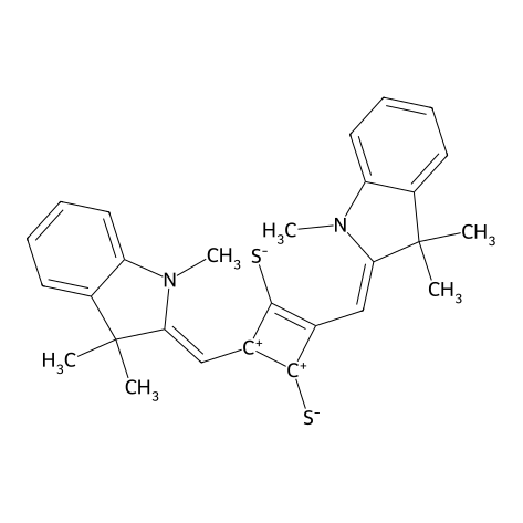 CN1C(=Cc2c([S-])[c+](C=C3N(C)c4ccccc4C3(C)C)[c+]2[S-])C(C)(C)c2ccccc21